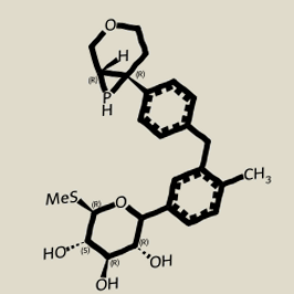 CS[C@H]1OC(c2ccc(C)c(Cc3ccc([C@]45CCOC[C@H]4P5)cc3)c2)[C@H](O)[C@@H](O)[C@@H]1O